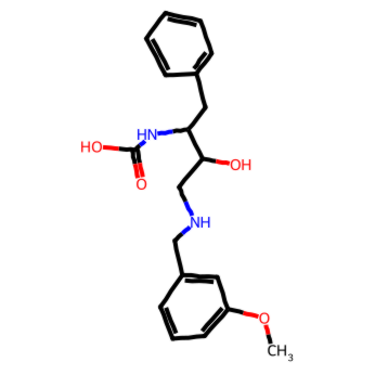 COc1cccc(CNCC(O)C(Cc2ccccc2)NC(=O)O)c1